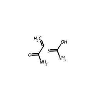 C=CC(N)=O.NC(O)=S